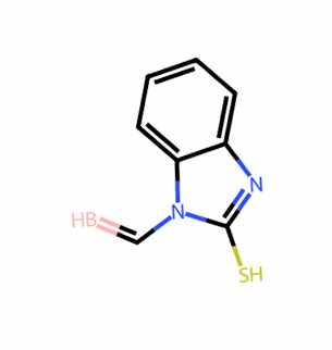 B=Cn1c(S)nc2ccccc21